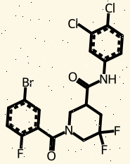 O=C(Nc1ccc(Cl)c(Cl)c1)C1CN(C(=O)c2cc(Br)ccc2F)CC(F)(F)C1